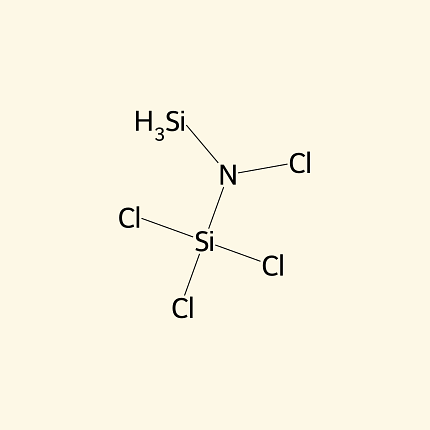 [SiH3]N(Cl)[Si](Cl)(Cl)Cl